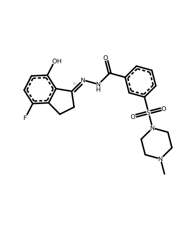 CN1CCN(S(=O)(=O)c2cccc(C(=O)N/N=C3\CCc4c(F)ccc(O)c43)c2)CC1